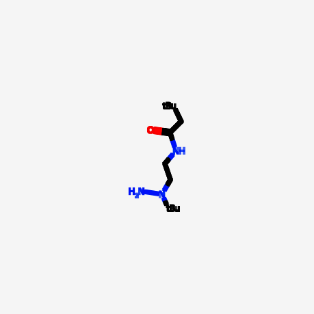 CC(C)(C)CC(=O)NCCN(N)C(C)(C)C